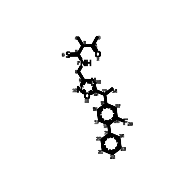 CC(=O)C(C)C(=S)NCc1noc(C(C)c2ccc(-c3ccccc3)c(F)c2)n1